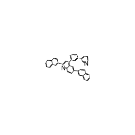 c1cncc(-c2cccc(-c3cc(-c4ccc5ccccc5c4)nc4ccc(-c5ccc6ccccc6c5)cc34)c2)c1